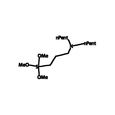 CCCCCN(CCCCC)CCC[Si](OC)(OC)OC